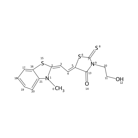 CN1C(=CC=C2SC(=S)N(CCO)C2=O)Sc2ccccc21